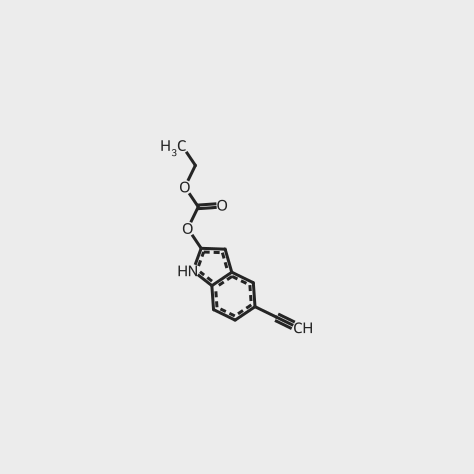 C#Cc1ccc2[nH]c(OC(=O)OCC)cc2c1